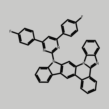 Fc1ccc(-c2cc(-c3ccc(F)cc3)nc(-n3c4ccccc4c4cc5c6ccccc6c6nc7ccccc7n6c5cc43)n2)cc1